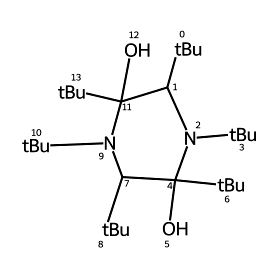 CC(C)(C)C1N(C(C)(C)C)C(O)(C(C)(C)C)C(C(C)(C)C)N(C(C)(C)C)C1(O)C(C)(C)C